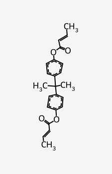 CC=CC(=O)Oc1ccc(C(C)(C)c2ccc(OC(=O)C=CC)cc2)cc1